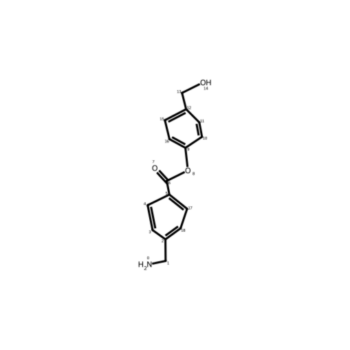 NCc1ccc(C(=O)Oc2ccc(CO)cc2)cc1